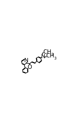 CCN(CC)c1ccc(C=CC(=O)c2ncccc2-c2ccccc2)cc1